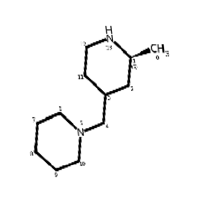 C[C@H]1CC(CN2CCCCC2)CCN1